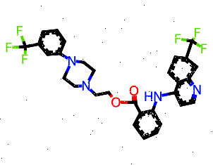 O=C(OCCN1CCN(c2cccc(C(F)(F)F)c2)CC1)c1ccccc1Nc1ccnc2cc(C(F)(F)F)ccc12